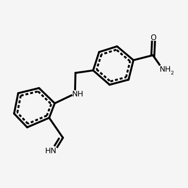 N=Cc1ccccc1NCc1ccc(C(N)=O)cc1